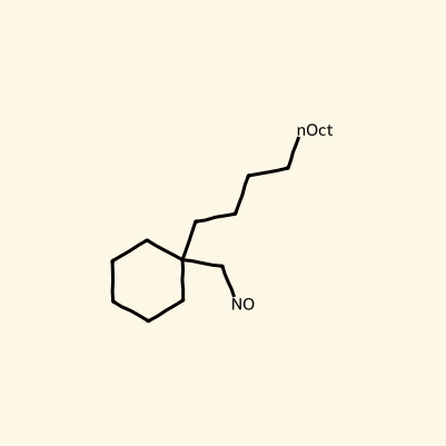 CCCCCCCCCCCCC1(CN=O)CCCCC1